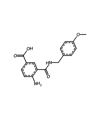 COc1ccc(CNC(=O)c2cc(C(=O)O)ccc2N)cc1